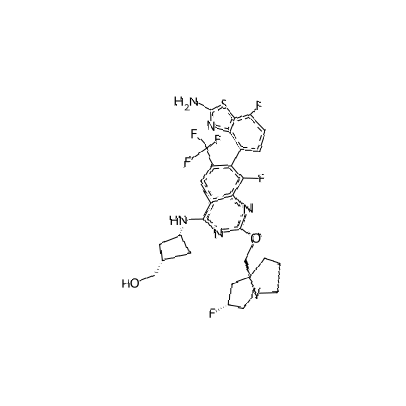 Nc1nc2c(-c3c(C(F)(F)F)cc4c(N[C@H]5C[C@@H](CO)C5)nc(OC[C@@]56CCCN5C[C@H](F)C6)nc4c3F)ccc(F)c2s1